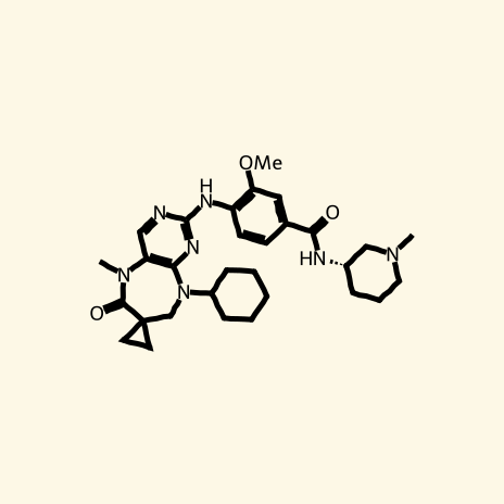 COc1cc(C(=O)N[C@H]2CCCN(C)C2)ccc1Nc1ncc2c(n1)N(C1CCCCC1)CC1(CC1)C(=O)N2C